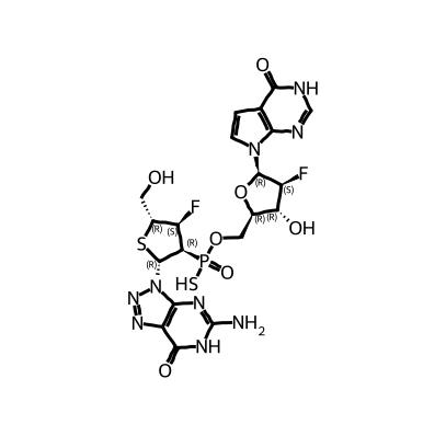 Nc1nc2c(nnn2[C@@H]2S[C@H](CO)[C@@H](F)[C@H]2P(=O)(S)OC[C@H]2O[C@@H](n3ccc4c(=O)[nH]cnc43)[C@@H](F)[C@@H]2O)c(=O)[nH]1